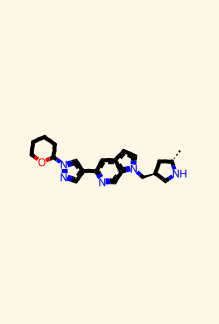 C[C@H]1C[C@H](Cn2ccc3cc(-c4cnn(C5CCCCO5)c4)ncc32)CN1